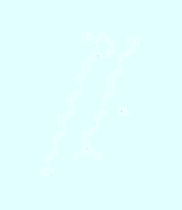 CCCCCCCCCCCC(=O)[O-].CCCCCCCCCCCCN1CCCC1=O.[Na+]